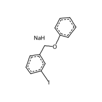 Ic1cccc(COc2ccccc2)c1.[NaH]